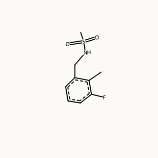 [CH2]c1c(F)cccc1CNS(C)(=O)=O